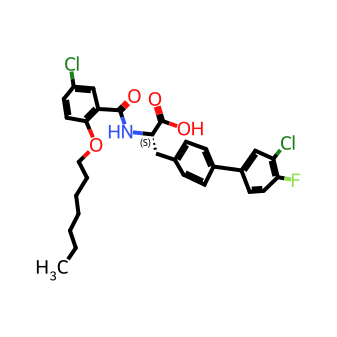 CCCCCCCOc1ccc(Cl)cc1C(=O)N[C@@H](Cc1ccc(-c2ccc(F)c(Cl)c2)cc1)C(=O)O